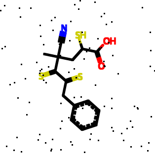 CC(C#N)(CC(S)C(=O)O)C(=S)C(=S)Cc1ccccc1